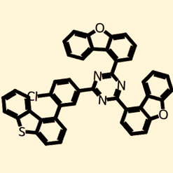 Clc1ccc(-c2nc(-c3cccc4oc5ccccc5c34)nc(-c3cccc4oc5ccccc5c34)n2)cc1-c1cccc2sc3ccccc3c12